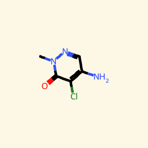 Cn1ncc(N)c(Cl)c1=O